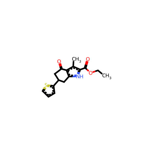 CCOC(=O)c1[nH]c2c(c1C)C(=O)CC(c1cccs1)C2